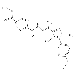 CCc1ccc(-c2c(O)c(C(C)=NNC(=O)c3ccc(C(=O)OC)cc3)nn2C)cc1